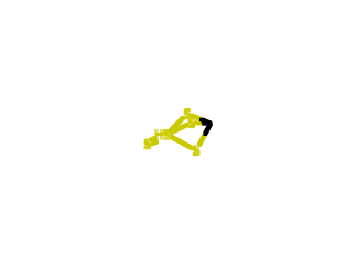 S=[SH]12SC(S1)S2